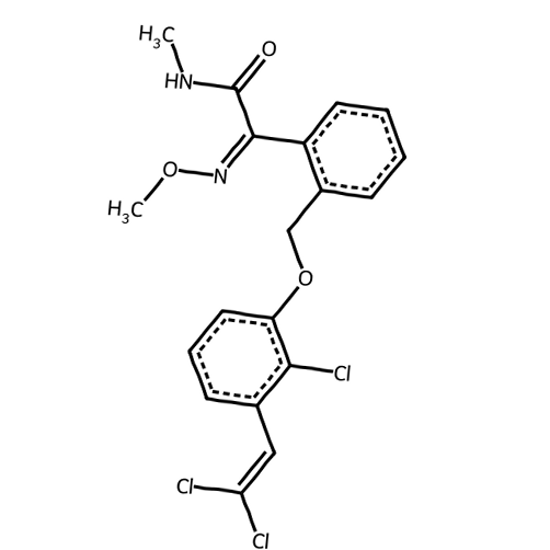 CNC(=O)C(=NOC)c1ccccc1COc1cccc(C=C(Cl)Cl)c1Cl